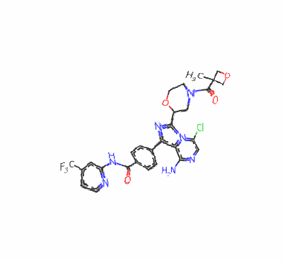 CC1(C(=O)N2CCOC(c3nc(-c4ccc(C(=O)Nc5cc(C(F)(F)F)ccn5)cc4)c4c(N)ncc(Cl)n34)C2)COC1